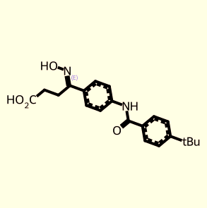 CC(C)(C)c1ccc(C(=O)Nc2ccc(/C(CCC(=O)O)=N/O)cc2)cc1